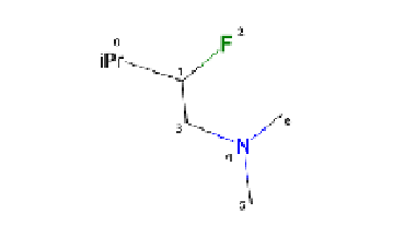 CC(C)C(F)CN(C)C